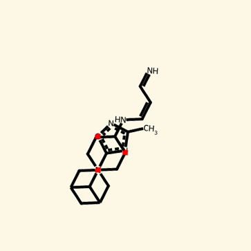 Cc1noc(N2CC3CC(C2)C3N2CCC(N/C=C\C=N)CC2)n1